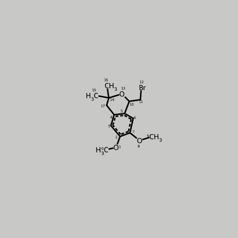 COc1cc2c(cc1OC)C(CBr)OC(C)(C)C2